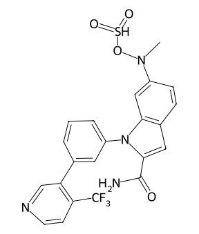 CN(O[SH](=O)=O)c1ccc2cc(C(N)=O)n(-c3cccc(-c4cnccc4C(F)(F)F)c3)c2c1